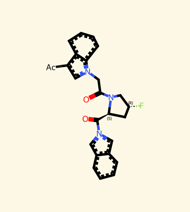 CC(=O)c1cn(CC(=O)N2C[C@H](F)C[C@H]2C(=O)n2cc3ccccc3c2)c2ccccc12